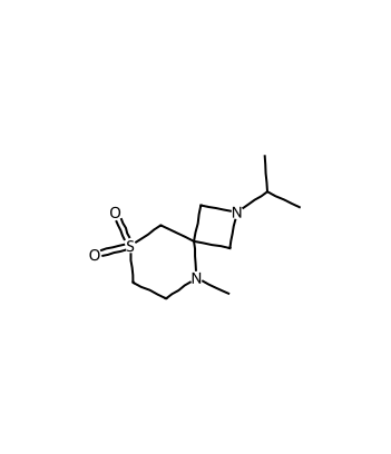 CC(C)N1CC2(C1)CS(=O)(=O)CCN2C